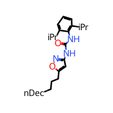 CCCCCCCCCCCCCc1cc(NC(=O)Nc2c(C(C)C)cccc2C(C)C)no1